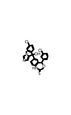 Cn1cncc1C(O)(c1ccc(Cl)cc1)c1ccc2c(c1)C(c1cccc(Cl)c1)OCC(=S)N2